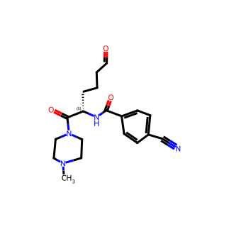 CN1CCN(C(=O)[C@H](CCCC=O)NC(=O)c2ccc(C#N)cc2)CC1